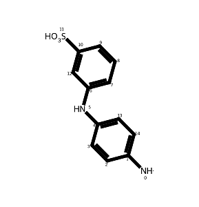 [NH]c1ccc(Nc2cccc(S(=O)(=O)O)c2)cc1